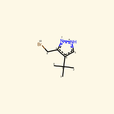 CC(C)(C)c1c[nH]nc1CBr